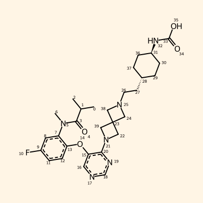 CC(C)C(=O)N(C)c1cc(F)ccc1Oc1cncnc1N1CC2(CN(CC[C@H]3CC[C@H](NC(=O)O)CC3)C2)C1